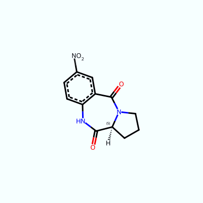 O=C1Nc2ccc([N+](=O)[O-])cc2C(=O)N2CCC[C@@H]12